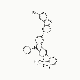 CC1(C)c2ccccc2-c2cc3c4cc(-c5ccc6sc7ccc(Br)cc7c6c5)ccc4n(-c4ccccc4)c3cc21